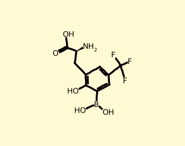 N[C@@H](Cc1cc(C(F)(F)F)cc(B(O)O)c1O)C(=O)O